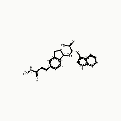 NC(=O)[C@H](Cc1c[nH]c2ccccc12)NC1CCc2cc(/C=C/C(=O)NO)ccc21